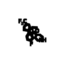 Fc1ccc(-c2ccc(C(F)(F)F)cc2)c(C2(C3CCNCC3)OC=CO2)c1